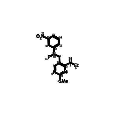 CCNc1nc(SC)ncc1CN(F)c1cccc([N+](=O)[O-])c1